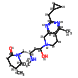 C[C@@H]1CCC(=O)N(C[C@H](CC(O)N2CCc3c(nc(CC4CC4)nc3C(F)(F)F)C2)NC(=O)O)C1